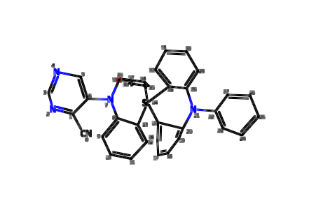 N#Cc1ncncc1N1c2ccccc2[Si]2(c3ccccc3N(c3ccccc3)c3ccccc32)c2ccccc21